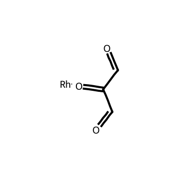 O=CC(=O)C=O.[Rh]